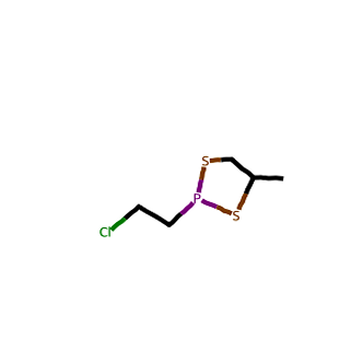 CC1CSP(CCCl)S1